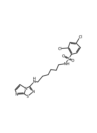 O=S(=O)(NCCCCCCNc1nsc2nccn12)c1ccc(Cl)cc1Cl